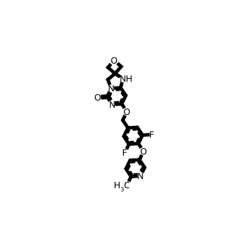 Cc1ccc(Oc2c(F)cc(COc3cc4n(c(=O)n3)CC3(COC3)N4)cc2F)cn1